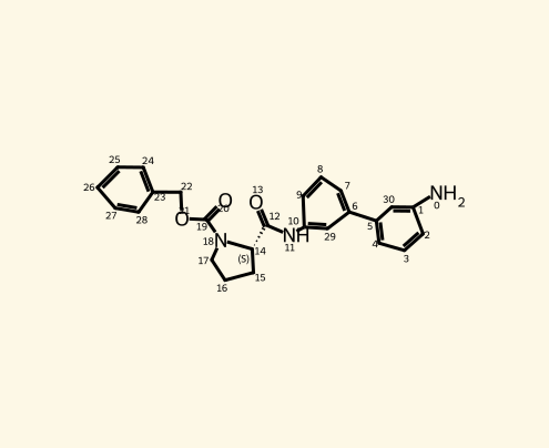 Nc1cccc(-c2cccc(NC(=O)[C@@H]3CCCN3C(=O)OCc3ccccc3)c2)c1